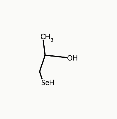 CC(O)C[SeH]